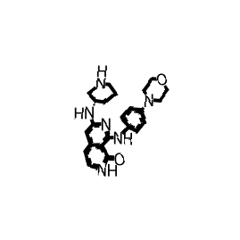 O=c1[nH]ccc2cc(N[C@H]3CCCNC3)nc(Nc3ccc(N4CCOCC4)cc3)c12